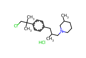 CC1CCCN(CC(C)Cc2ccc(C(C)(C)CCl)cc2)C1.Cl